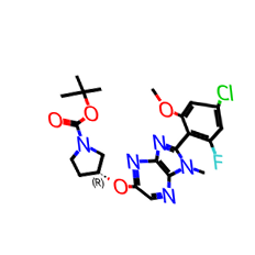 COc1cc(Cl)cc(F)c1-c1nc2nc(O[C@@H]3CCN(C(=O)OC(C)(C)C)C3)cnc2n1C